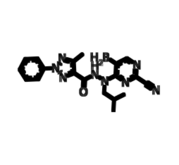 Bc1cnc(C#N)nc1N(CC(C)C)NC(=O)c1nn(-c2ccccc2)nc1C